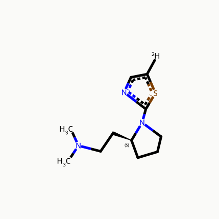 [2H]c1cnc(N2CCC[C@H]2CCN(C)C)s1